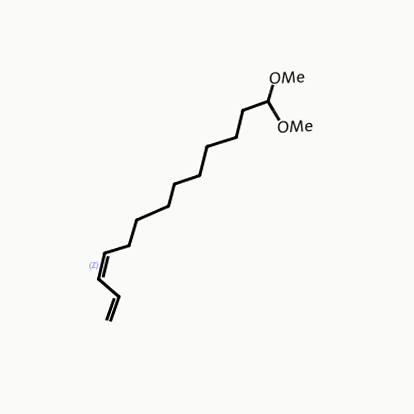 C=C/C=C\CCCCCCCCC(OC)OC